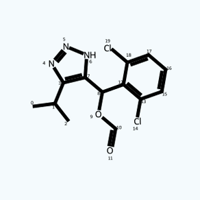 CC(C)c1nn[nH]c1C(OC=O)c1c(Cl)cccc1Cl